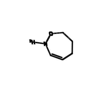 [2H]N1C=CCCCO1